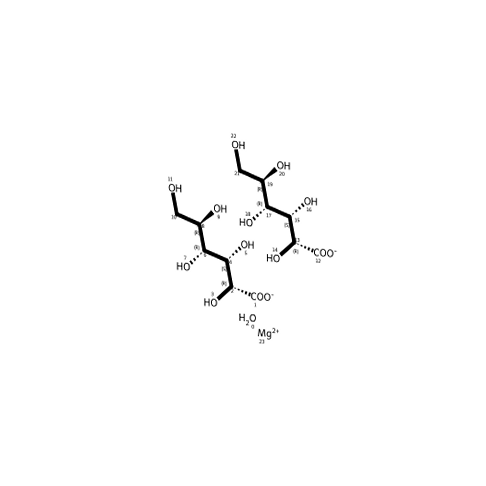 O.O=C([O-])[C@H](O)[C@@H](O)[C@H](O)[C@H](O)CO.O=C([O-])[C@H](O)[C@@H](O)[C@H](O)[C@H](O)CO.[Mg+2]